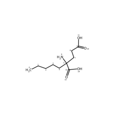 CCCCCC(N)(CCC(=O)O)C(=O)O